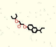 CCC(CC)OCC(=O)COc1ccc2cc(C(C)CC)ccc2c1